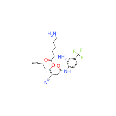 C#CCCC(OC(=O)[C@@H](N)CCCCN)=C(C#N)CC(=O)Nc1ccc(C(F)(F)F)cc1